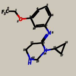 FC(F)(F)COc1cccc(N=C2CCNCN2C2CC2)c1